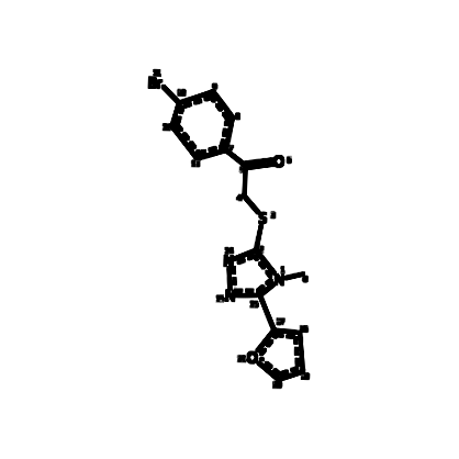 Cn1c(SCC(=O)c2ccc(Br)cc2)nnc1-c1ccco1